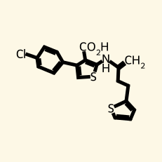 C=C(CCc1cccs1)Nc1scc(-c2ccc(Cl)cc2)c1C(=O)O